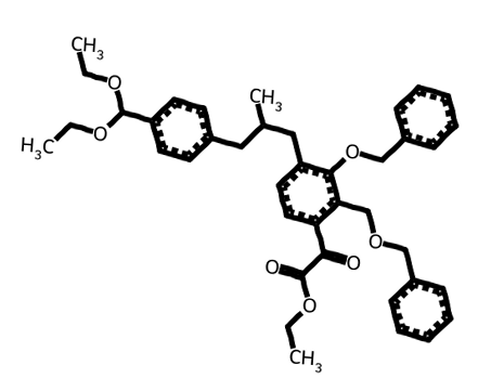 CCOC(=O)C(=O)c1ccc(CC(C)Cc2ccc(C(OCC)OCC)cc2)c(OCc2ccccc2)c1COCc1ccccc1